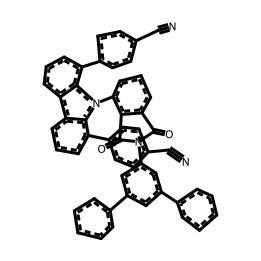 N#Cc1ccc(-c2cccc3c4cccc(-c5ccc(C#N)cc5)c4n(-c4cccc5c4C(=O)N(c4cc(-c6ccccc6)cc(-c6ccccc6)c4)C5=O)c23)cc1